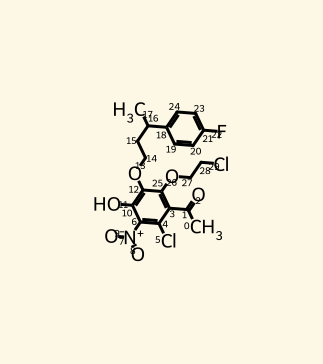 CC(=O)c1c(Cl)c([N+](=O)[O-])c(O)c(OCCC(C)c2ccc(F)cc2)c1OCCCl